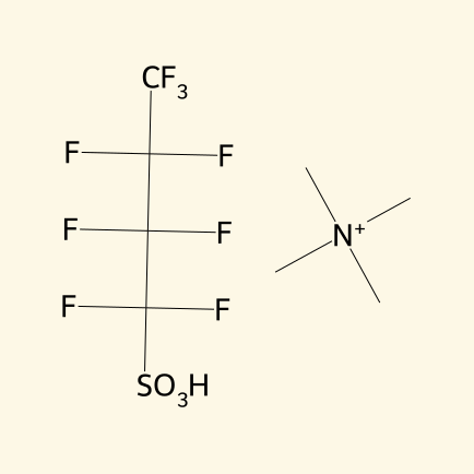 C[N+](C)(C)C.O=S(=O)(O)C(F)(F)C(F)(F)C(F)(F)C(F)(F)F